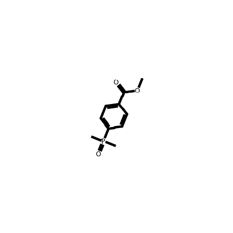 COC(=O)c1ccc(P(C)(C)=O)cc1